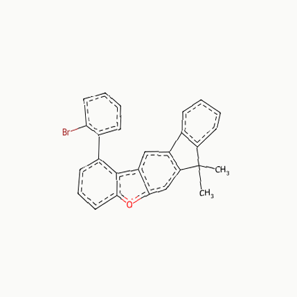 CC1(C)c2ccccc2-c2cc3c(cc21)oc1cccc(-c2ccccc2Br)c13